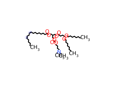 CCCCC/C=C\C/C=C\CCCCCCCC(=O)OCC(COC(=O)CCC(OCCCCCCCC)OCCCCCCCC)COC(=O)OCCCCN(CC)CC